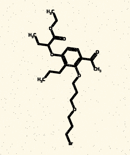 CCCc1c(OC(CC)C(=O)OCC)ccc(C(C)=O)c1OCCCOCCCBr